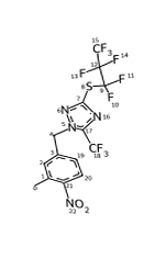 Cc1cc(Cn2nc(SC(F)(F)C(F)(F)C(F)(F)F)nc2C(F)(F)F)ccc1[N+](=O)[O-]